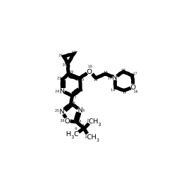 CC(C)(C)c1nc(-c2cc(OCCN3CCOCC3)c(C3CC3)cn2)no1